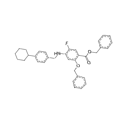 O=C(OCc1ccccc1)c1cc(F)c(NCc2ccc(C3CCCCC3)cc2)cc1OCc1ccccc1